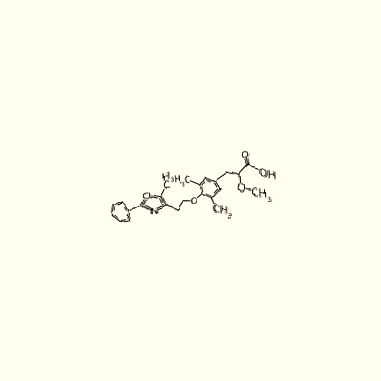 COC(Cc1cc(C)c(OCCc2nc(-c3ccccc3)oc2C)c(C)c1)C(=O)O